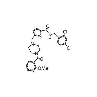 COc1ncccc1C(=O)N1CCN(Cc2ccc(C(=O)NCc3ccc(Cl)cc3Cl)s2)CC1